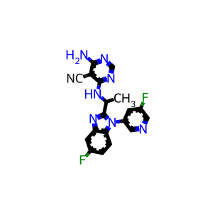 CC(Nc1ncnc(N)c1C#N)c1nc2cc(F)ccc2n1-c1cncc(F)c1